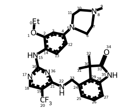 CCOc1cc(N2CCN(C)CC2)ccc1Nc1ncc(C(F)(F)F)c(NCc2cccc3c2C(C)(C)C(=O)N3)n1